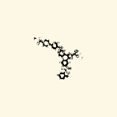 CC(=O)N1CCN(c2ccc(Nc3nccc(-c4sc(C(C)C)nc4-c4cccc(NS(=O)(=O)c5ccccc5F)c4)n3)cn2)CC1